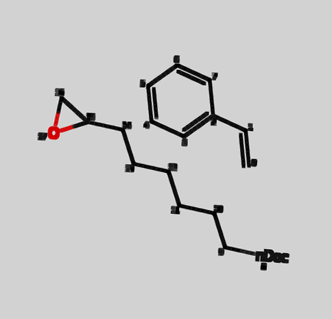 C=Cc1ccccc1.CCCCCCCCCCCCCCCCC1CO1